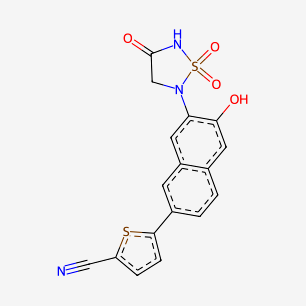 N#Cc1ccc(-c2ccc3cc(O)c(N4CC(=O)NS4(=O)=O)cc3c2)s1